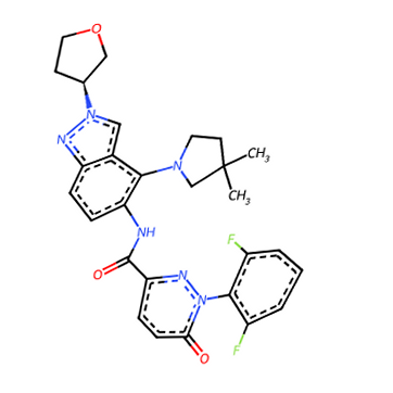 CC1(C)CCN(c2c(NC(=O)c3ccc(=O)n(-c4c(F)cccc4F)n3)ccc3nn([C@H]4CCOC4)cc23)C1